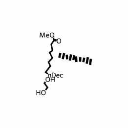 C=C.C=C.C=C.C=C.C=C.C=C.C=C.C=C.C=C.C=C.CCCCCCCCCCCCCCCCCC(=O)OC.OCCO